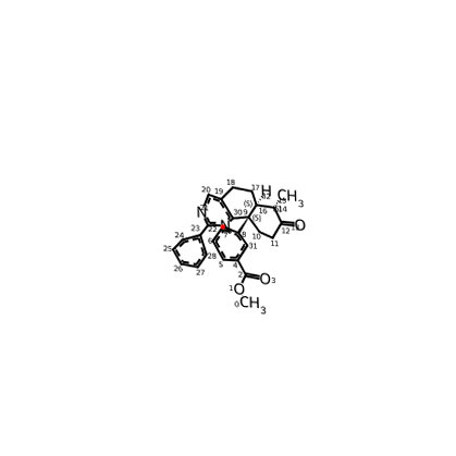 COC(=O)c1cccc([C@]23CCC(=O)[C@@H](C)[C@@H]2CCc2cnc(-c4ccccc4)nc23)c1